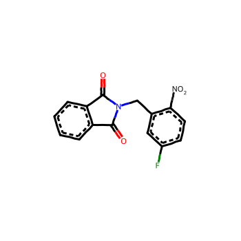 O=C1c2ccccc2C(=O)N1Cc1cc(F)ccc1[N+](=O)[O-]